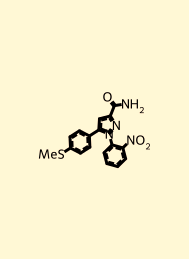 CSc1ccc(-c2cc(C(N)=O)nn2-c2ccccc2[N+](=O)[O-])cc1